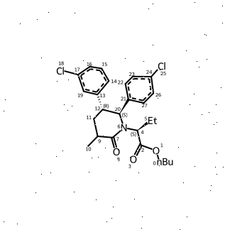 CCCCOC(=O)[C@H](CC)N1C(=O)C(C)C[C@H](c2cccc(Cl)c2)[C@H]1c1ccc(Cl)cc1